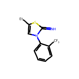 CCc1cn(-c2ccccc2C(F)(F)F)c(=N)s1